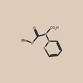 CC(C)(C)OC(=O)N(C(=O)O)N1C=CC=CS1